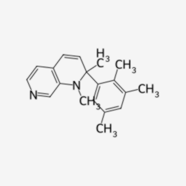 Cc1cc(C)c(C)c(C2(C)C=Cc3ccncc3N2C)c1